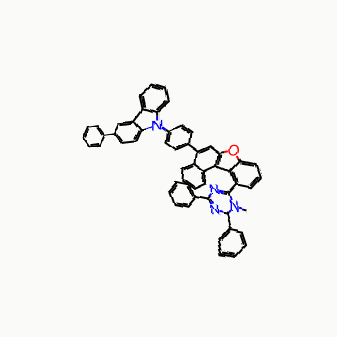 CN1C(c2cccc3oc4cc(-c5ccc(-n6c7ccccc7c7cc(-c8ccccc8)ccc76)cc5)c5ccccc5c4c23)=NC(c2ccccc2)=NC1c1ccccc1